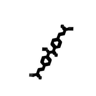 O=C(O)C=Cc1ccc(C(=O)C(O)c2ccc(C=CC(=O)O)cc2)cc1